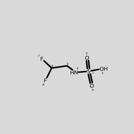 O=S(=O)(O)NCC(F)F